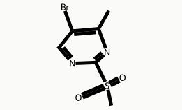 Cc1nc(S(C)(=O)=O)n[c]c1Br